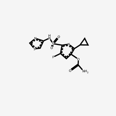 NC(=O)Oc1cc(F)c(S(=O)(=O)Nc2cscn2)nc1C1CC1